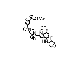 COCC1(c2cc(C(=O)NCc3nc(-c4cc5c(N[C@@H]6CCOC[C@@H]6F)cccc5n4CC(F)(F)F)no3)cs2)CC1